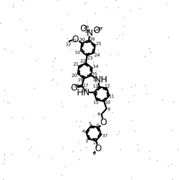 COc1cccc(OCCc2ccc3c(c2)NC(=O)c2ccc(-c4ccc([N+](=O)[O-])c(OC)c4)cc2N3)c1